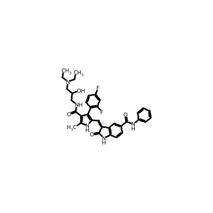 CCN(CC)CC(O)CNC(=O)c1c(C)[nH]c(/C=C2\C(=O)Nc3ccc(C(=O)Nc4ccccc4)cc32)c1-c1ccc(F)cc1F